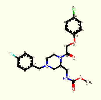 CC(C)(C)OC(=O)NCC1CN(Cc2ccc(F)cc2)CCN1C(=O)COc1ccc(Cl)cc1